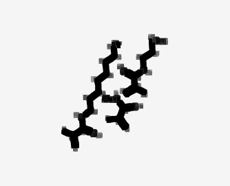 C=C(C)C(=O)OC.C=C(C)C(=O)OCCCCCCCC(C)C.C=C(C)C(=O)OCCCCCCCCCCCC